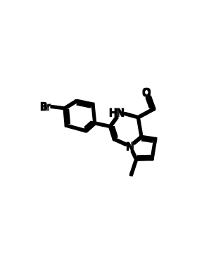 Cc1ccc2n1C=C(c1ccc(Br)cc1)NC2C=O